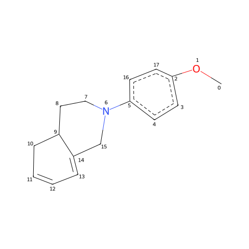 COc1ccc(N2CCC3CC=CC=C3C2)cc1